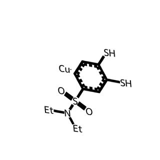 CCN(CC)S(=O)(=O)c1ccc(S)c(S)c1.[Cu]